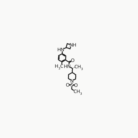 CCS(=O)(=O)N1CCC([C@@H](C)NC(=O)c2cc(NC3CNC3)ccc2C)CC1